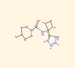 CC1CCN(C(=O)NC2(c3nnn[nH]3)CCC2)CC1